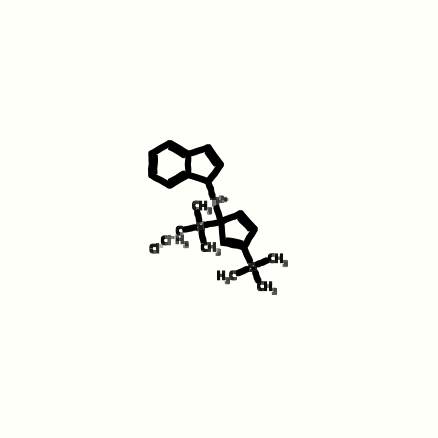 C[Si](C)(C)C1=C[C]([Ti+2][CH]2C=Cc3ccccc32)([Si](C)(C)C)C=C1.[Cl-].[Cl-]